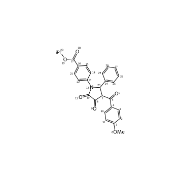 COc1ccc(C(=O)C2C(=O)C(=O)N(c3ccc(C(=O)OC(C)C)cc3)C2c2ccccc2)cc1